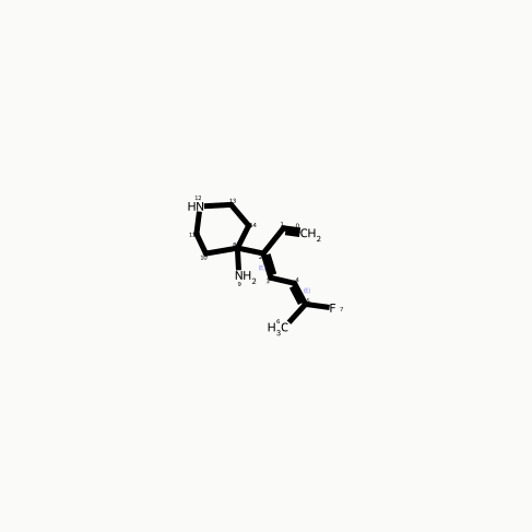 C=C/C(=C\C=C(/C)F)C1(N)CCNCC1